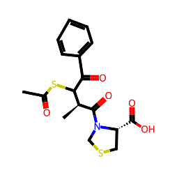 CC(=O)SC(C(=O)c1ccccc1)[C@H](C)C(=O)N1CSC[C@H]1C(=O)O